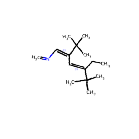 C=N/C=C(\C=C(/CC)C(C)(C)C)C(C)(C)C